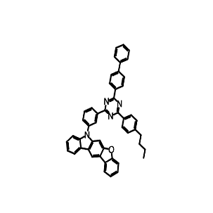 CCCCc1ccc(-c2nc(-c3ccc(-c4ccccc4)cc3)nc(-c3cccc(-n4c5ccccc5c5cc6c(cc54)oc4ccccc46)c3)n2)cc1